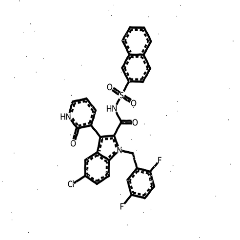 O=C(NS(=O)(=O)c1ccc2ccccc2c1)c1c(-c2ccc[nH]c2=O)c2cc(Cl)ccc2n1Cc1cc(F)ccc1F